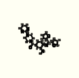 C=Nc1cc(C(=O)N2CCN(c3ncccn3)CC2)ccc1N=C(c1ccco1)c1ccco1